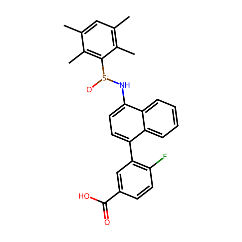 Cc1cc(C)c(C)c([S+]([O-])Nc2ccc(-c3cc(C(=O)O)ccc3F)c3ccccc23)c1C